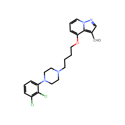 O=Cc1cnn2cccc(OCCCCN3CCN(c4cccc(Cl)c4Cl)CC3)c12